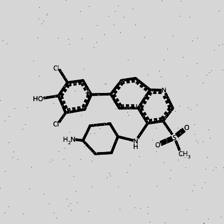 CS(=O)(=O)c1cnc2ccc(-c3cc(Cl)c(O)c(Cl)c3)cc2c1NC1CCC(N)CC1